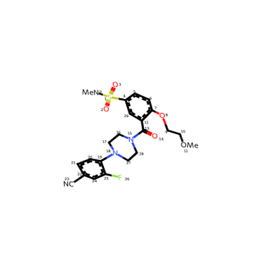 CNS(=O)(=O)c1ccc(OCCOC)c(C(=O)N2CCN(c3ccc(C#N)cc3F)CC2)c1